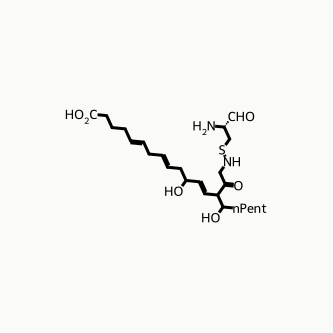 CCCCCC(O)C(C=CC(O)CC=CCC=CCCCC(=O)O)C(=O)CNSC[C@H](N)C=O